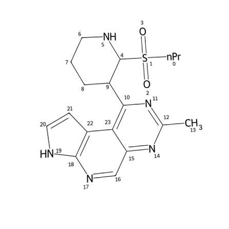 CCCS(=O)(=O)C1NCCCC1c1nc(C)nc2cnc3[nH]ccc3c12